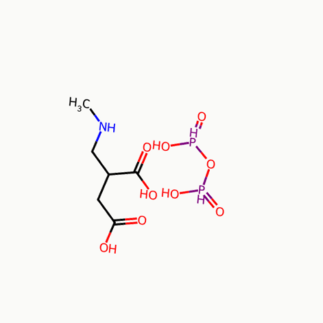 CNCC(CC(=O)O)C(=O)O.O=[PH](O)O[PH](=O)O